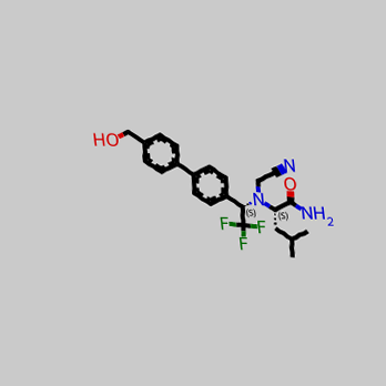 CC(C)C[C@@H](C(N)=O)N(CC#N)[C@@H](c1ccc(-c2ccc(CO)cc2)cc1)C(F)(F)F